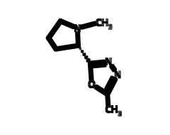 Cc1nnc([C@@H]2CCCN2C)o1